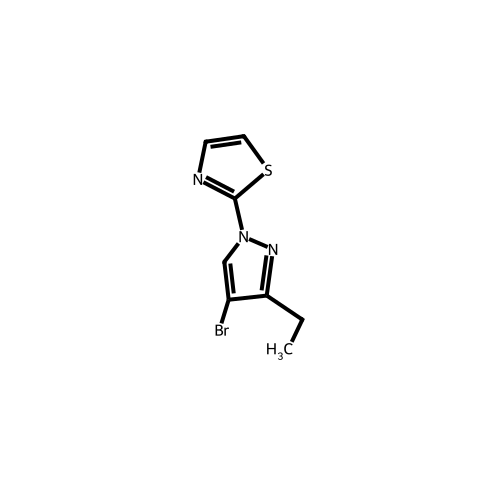 CCc1nn(-c2nccs2)cc1Br